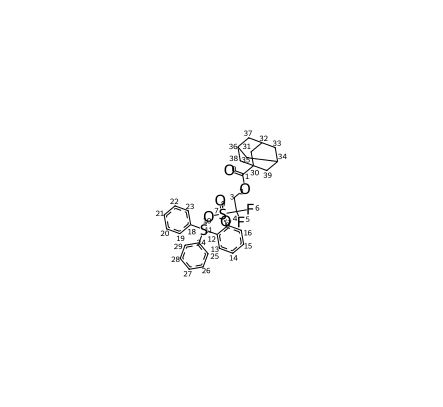 O=C(OCC(F)(F)S(=O)(=O)OS(c1ccccc1)(c1ccccc1)c1ccccc1)C12CC3CC(CC(C3)C1)C2